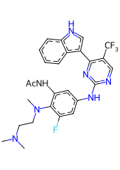 CC(=O)Nc1cc(Nc2ncc(C(F)(F)F)c(-c3c[nH]c4ccccc34)n2)cc(F)c1N(C)CCN(C)C